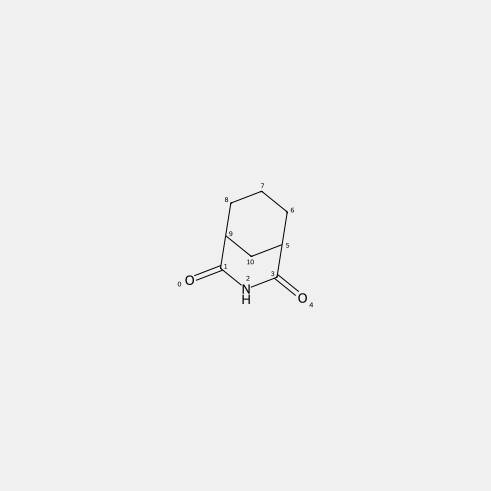 O=C1NC(=O)C2CCCC1C2